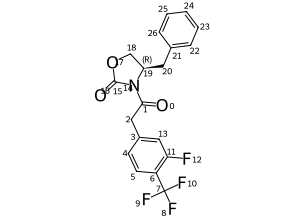 O=C(Cc1ccc(C(F)(F)F)c(F)c1)N1C(=O)OC[C@H]1Cc1ccccc1